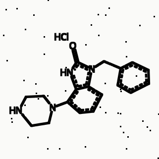 Cl.O=c1[nH]c2c(N3CCNCC3)cccc2n1Cc1ccccc1